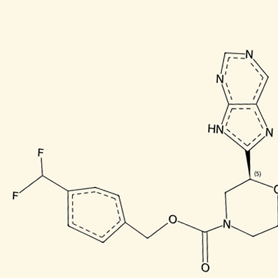 O=C(OCc1ccc(C(F)F)cc1)N1CCO[C@H](c2nc3cncnc3[nH]2)C1